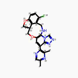 Cc1cnc(-c2cc3c(n4cnnc24)NCc2c(F)ccc4c2[C@@H](CO4)CO3)c(C)n1